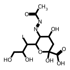 CC(=O)N=NC1C(O)CC(O)(C(=O)O)OC1C(I)C(O)CO